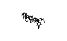 C[C@@H](c1ccc(F)cc1)N1CCC(n2ncc(NC[C@@H]3CCCOC3)c(Cl)c2=O)CC1